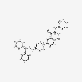 O=C1c2cc(N3CCN(CCC(c4ccccc4)c4ccccc4)CC3)ccc2CCN1CC1CCCCO1